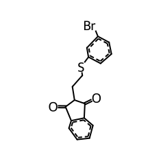 O=C1c2ccccc2C(=O)C1CCSc1cccc(Br)c1